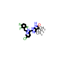 Cc1nc(-c2nc(Cc3c(F)ccc(F)c3F)n3cc(Cl)ccc23)nc2c1C(C)(C)C(=O)N2